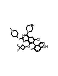 Cc1ccc2[nH]ncc2c1-c1c(Cl)cc2c(N3CCNCC3)nc(OC3CCN(C)CC3)nc2c1OC1CC(F)(F)C1